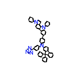 c1ccc(-n2ccc3c2ccc2c4cc(-c5ccc(N(c6ccc(-c7ncncn7)cc6)c6ccc7c(c6)C(c6ccccc6)(c6ccccc6)c6ccccc6-7)cc5)ccc4n(-c4ccccc4)c23)cc1